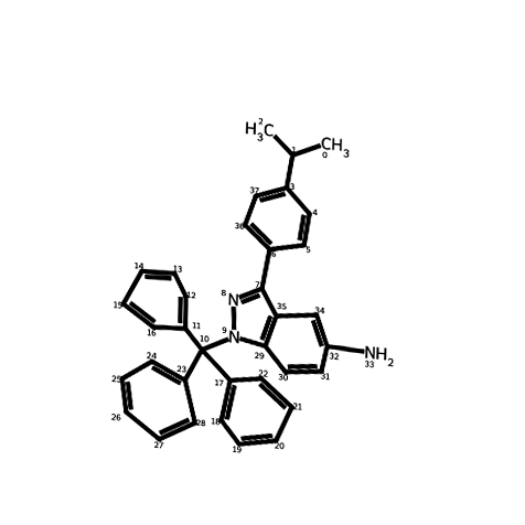 CC(C)c1ccc(-c2nn(C(c3ccccc3)(c3ccccc3)c3ccccc3)c3ccc(N)cc23)cc1